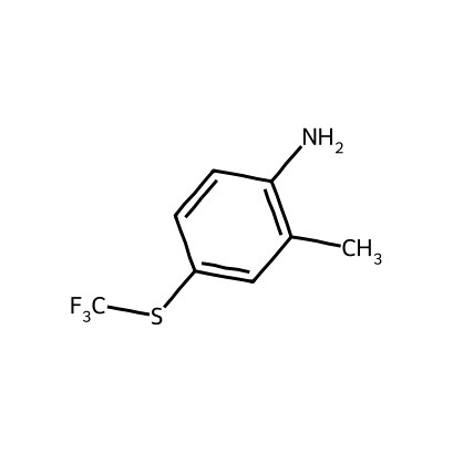 Cc1cc(SC(F)(F)F)ccc1N